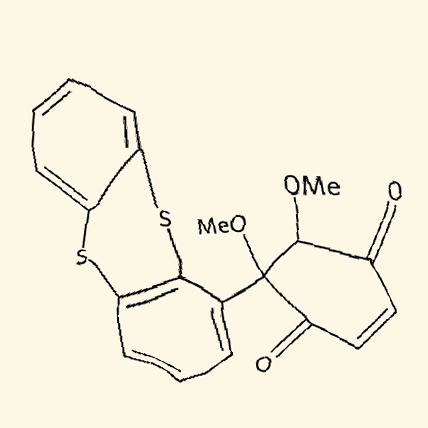 COC1C(=O)C=CC(=O)C1(OC)c1cccc2c1Sc1ccccc1S2